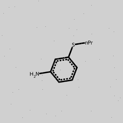 CCCSc1cccc(N)c1